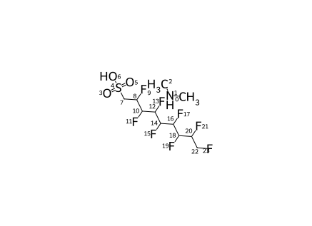 CNC.O=S(=O)(O)CC(F)C(F)C(F)C(F)C(F)C(F)C(F)CF